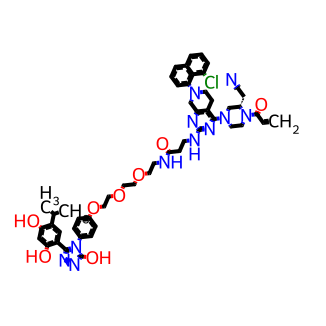 C=CC(=O)N1CCN(c2nc(NCCC(=O)NCCOCCOCCOc3ccc(-n4c(O)nnc4-c4cc(C(C)C)c(O)cc4O)cc3)nc3c2CCN(c2cccc4cccc(Cl)c24)C3)C[C@@H]1CC#N